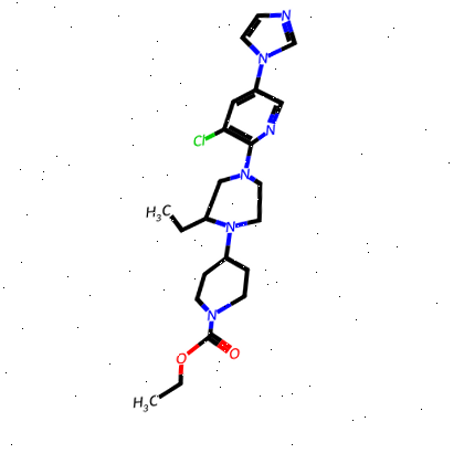 CCOC(=O)N1CCC(N2CCN(c3ncc(-n4ccnc4)cc3Cl)CC2CC)CC1